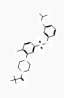 Cc1ccc(S(=O)(=O)Nc2cccc(OC(F)F)c2)cc1N1CCN(C(=O)C(F)(F)F)CC1